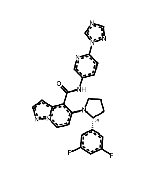 O=C(Nc1ccc(-n2cncn2)nc1)c1c(N2CCC[C@@H]2c2cc(F)cc(F)c2)ccn2nccc12